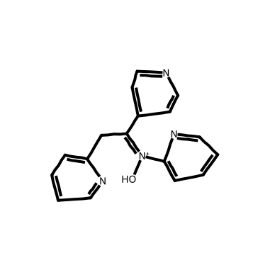 O[N+](=C(Cc1ccccn1)c1ccncc1)c1ccccn1